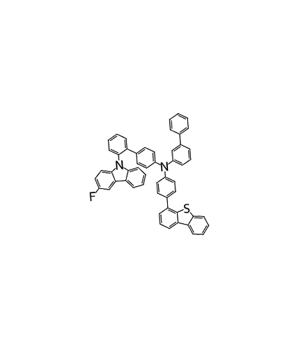 Fc1ccc2c(c1)c1ccccc1n2-c1ccccc1-c1ccc(N(c2ccc(-c3cccc4c3sc3ccccc34)cc2)c2cccc(-c3ccccc3)c2)cc1